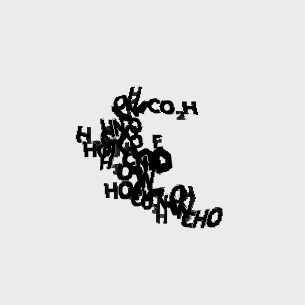 C[C@@H](O)C(NC(=O)CNC(=O)CNC=O)C(=O)NC(C)(Cc1ccccc1F)C(=O)NC(C(=O)NC(CO)C(=O)NCCC(=O)O)[C@@H](C)O